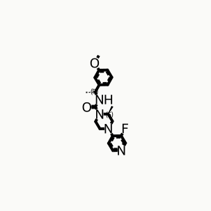 COc1cccc([C@@H](C)NC(=O)N2CCN(c3ccncc3F)C[C@@H]2C)c1